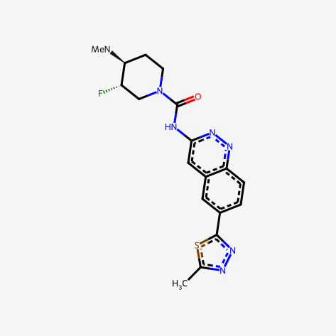 CN[C@H]1CCN(C(=O)Nc2cc3cc(-c4nnc(C)s4)ccc3nn2)C[C@@H]1F